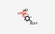 CCCCCCCCCc1ccc(OP(=O)(O)OCC)cc1